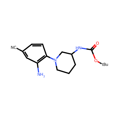 CC(C)(C)OC(=O)NC1CCCN(c2ccc(C#N)cc2N)C1